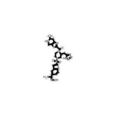 CC1Cc2nc(C(=O)N3CCN(S(=O)(=O)c4cc5cc(/C(N)=N\O)ccc5s4)CC3Cc3nnn[nH]3)sc2CN1